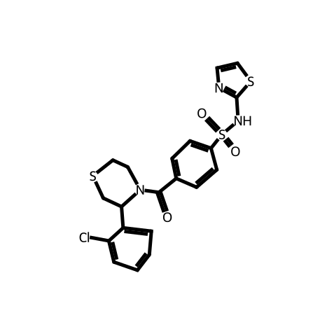 O=C(c1ccc(S(=O)(=O)Nc2nccs2)cc1)N1CCSCC1c1ccccc1Cl